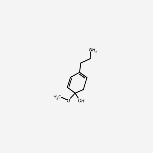 COC1(O)C=CC(CCN)=CC1